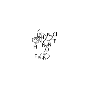 CC[C@@H]1Cc2nc(Cl)c(F)c3nc(OC[C@@]45CCCN4C[C@H](F)C5)nc(c23)N2C[C@H]3CC[C@H](C3)[C@H]12